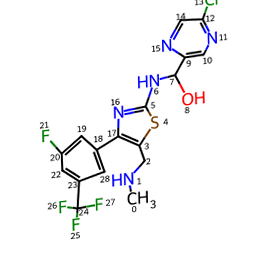 CNCc1sc(NC(O)c2cnc(Cl)cn2)nc1-c1cc(F)cc(C(F)(F)F)c1